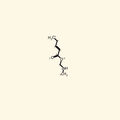 CCC=CC(=O)OCNC